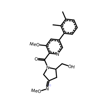 CO/N=C1/CC(CO)N(C(=O)c2ncc(-c3cccc(C)c3C)cc2OC)C1